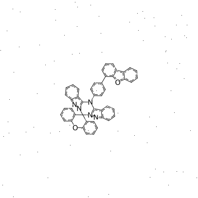 c1ccc2c(c1)Oc1ccccc1C21n2nc3ccccc3c2N(c2ccc(-c3cccc4c3oc3ccccc34)cc2)c2c3ccccc3nn21